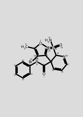 Cc1onc(C2(C(=O)Nc3ccccc3)C=CC=NC2S(N)(=O)=O)c1Br